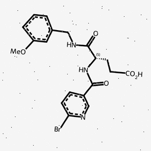 COc1cccc(CNC(=O)[C@H](CCC(=O)O)NC(=O)c2ccc(Br)nc2)c1